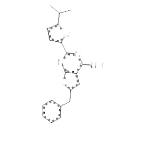 CC(C)c1ccc(-c2nc(N)c3cc(Cc4ccccc4)sc3n2)o1